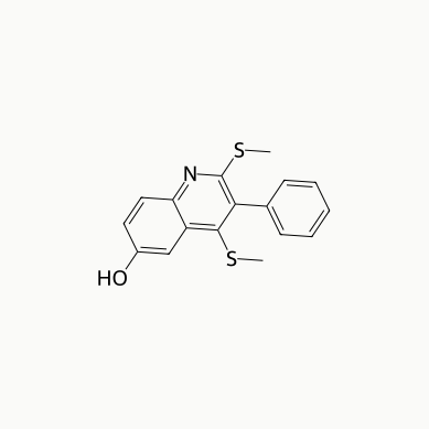 CSc1nc2ccc(O)cc2c(SC)c1-c1ccccc1